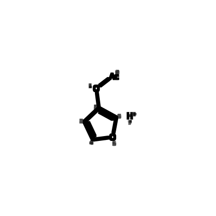 CC(=O)Oc1ccoc1.[H+]